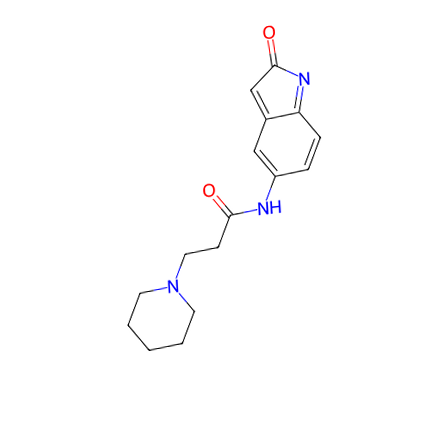 O=C1C=c2cc(NC(=O)CCN3CCCCC3)ccc2=N1